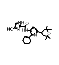 CC1(C)CC(c2ccc(NC(=O)c3nc(C#N)c[nH]3)c(C3=CCCCC3)n2)CC(C)(C)O1